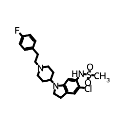 CS(=O)(=O)Nc1cc2c(cc1Cl)CCN2C1CCN(CCc2ccc(F)cc2)CC1